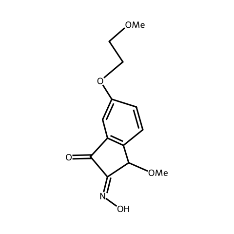 COCCOc1ccc2c(c1)C(=O)/C(=N/O)C2OC